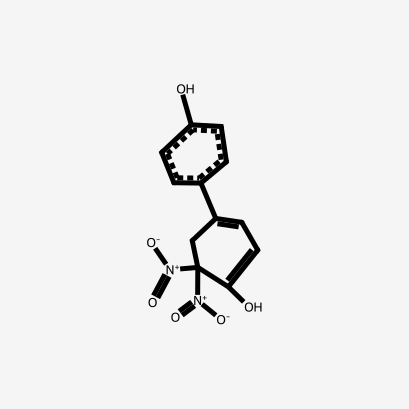 O=[N+]([O-])C1([N+](=O)[O-])CC(c2ccc(O)cc2)=CC=C1O